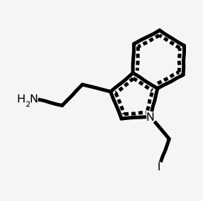 NCCc1cn(CI)c2ccccc12